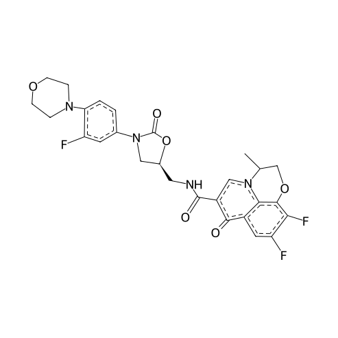 CC1COc2c(F)c(F)cc3c(=O)c(C(=O)NC[C@H]4CN(c5ccc(N6CCOCC6)c(F)c5)C(=O)O4)cn1c23